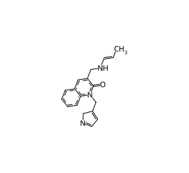 C/C=C/NCc1cc2ccccc2n(CC2=CC=NC2)c1=O